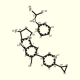 Fc1cc2nc3n(c2cc1-c1ccc(C2CC2)nc1)[C@@H](c1ccccc1OC(F)F)CC3F